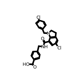 O=C(O)c1ccc(CNC(=O)c2cc(Cl)cc3c2N(Cc2ccc(Cl)cc2)CC3)cc1